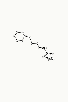 c1nnc(NCCCCN2CCCCC2)o1